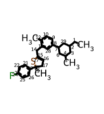 CCC1CC(C)CC(c2ccc(C)c(CC3=CCC(C)(c4ccc(F)cc4)S3)c2)C1